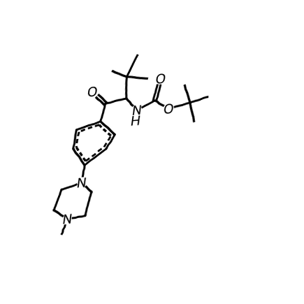 CN1CCN(c2ccc(C(=O)C(NC(=O)OC(C)(C)C)C(C)(C)C)cc2)CC1